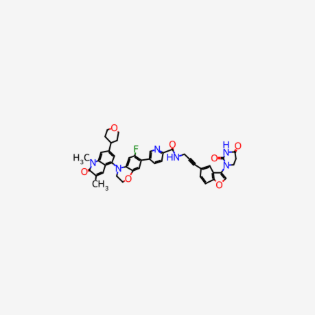 Cc1cc2c(N3CCOc4cc(-c5ccc(C(=O)NCC#Cc6ccc7occ(N8CCC(=O)NC8=O)c7c6)nc5)c(F)cc43)cc(C3CCOCC3)cc2n(C)c1=O